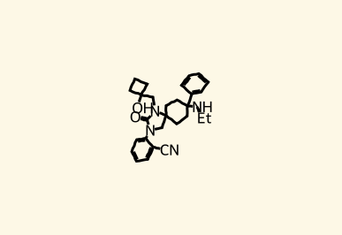 CCNC1(c2ccccc2)CCC2(CC1)CN(c1ccccc1C#N)C(=O)N2CC1(O)CCC1